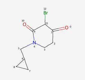 O=C1CCN(CC2CC2)C(=O)C1Br